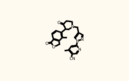 Cc1cc(-n2cc(CN3CCC(=O)C(c4ccc5c(c4C)COC5=O)C3)cn2)ncc1C#N